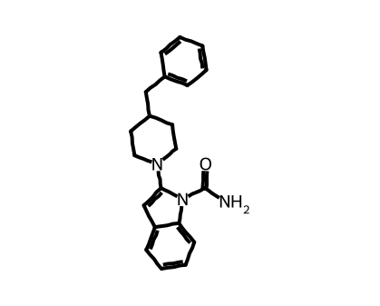 NC(=O)n1c(N2CCC(Cc3ccccc3)CC2)cc2ccccc21